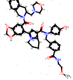 COCCNC(=O)c1cccc(CN(C(=O)c2cc(-c3cc4c(cc3C(=O)N3Cc5ccccc5CC3CN3CCOCC3)OCO4)n3c2CCCC3)c2ccc(O)cc2)c1